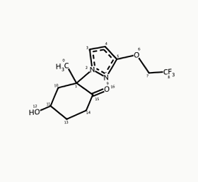 CC1(n2ccc(OCC(F)(F)F)n2)CC(O)CCC1=O